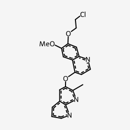 COc1cc2c(Oc3cc4cccnc4nc3C)ccnc2cc1OCCCl